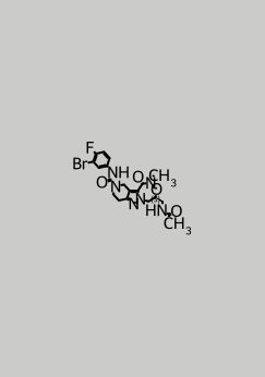 CC(=O)NC[C@H]1Cn2nc3c(c2C(=O)N(C)O1)CN(C(=O)Nc1ccc(F)c(Br)c1)CC3